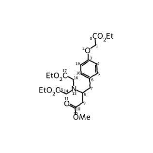 CCOC(=O)COc1ccc(CC(CC(=O)OC)N(CC(=O)OCC)CC(=O)OCC)cc1